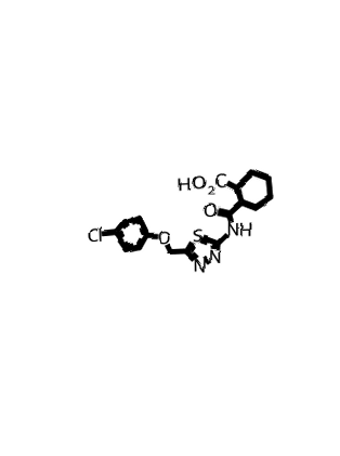 O=C(O)C1CCCCC1C(=O)Nc1nnc(COc2ccc(Cl)cc2)s1